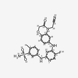 Cc1ccc(Nc2ncc(F)c(Nc3ccc4c(c3)N(CC#N)C(=O)CO4)n2)cc1S(N)(=O)=O